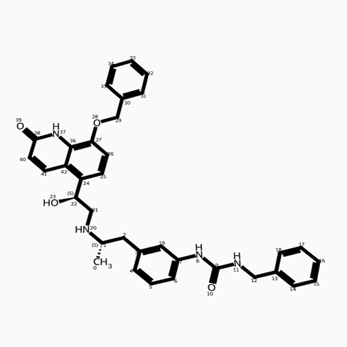 C[C@@H](Cc1cccc(NC(=O)NCc2ccccc2)c1)NC[C@@H](O)c1ccc(OCc2ccccc2)c2[nH]c(=O)ccc12